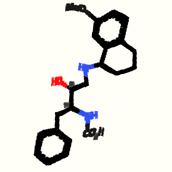 COc1ccc2c(c1)C(NC[C@@H](O)[C@H](Cc1ccccc1)NC(=O)O)CCC2